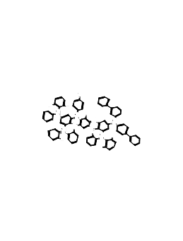 Fc1cccc(F)c1N(c1ccccc1)c1cc2c3c(c1)N(c1c(F)cccc1F)c1ccccc1B3c1cc3c(c(C(F)(F)F)c1N2c1ccc(C(F)(F)F)cc1)Sc1cc(N(c2ccc(-c4ccccc4)cc2)c2cccc(-c4ccccc4)c2)cc2c1B3c1ccccc1N2c1c(F)cccc1F